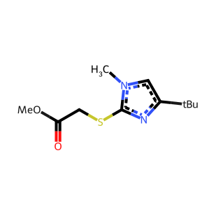 COC(=O)CSc1nc(C(C)(C)C)cn1C